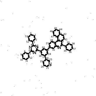 c1ccc(-c2nc(-c3ccccc3)nc(-c3cc(-c4cccnc4)cc(-c4ccc5c(c4)nc(-c4ccccc4)c4ccc6ccccc6c45)c3)n2)cc1